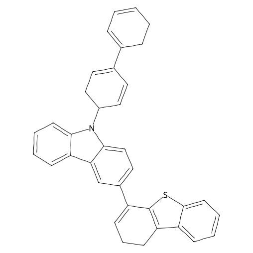 C1=CCCC(C2=CCC(n3c4ccccc4c4cc(C5=CCCc6c5sc5ccccc65)ccc43)C=C2)=C1